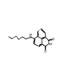 CCCCCCNc1ccc2c3c(cccc13)C(=O)NC2=O